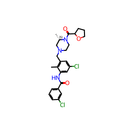 Cc1c(CN2CCN(C(=O)C3CCCO3)[C@@H](C)C2)cc(Cl)cc1NC(=O)c1cccc(Cl)c1